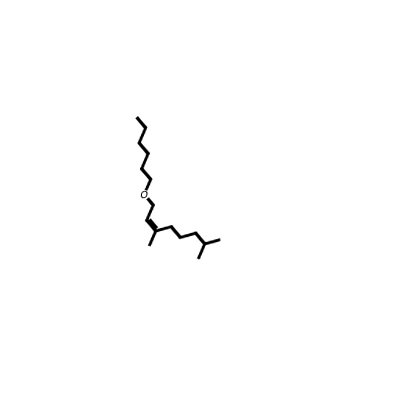 CCCCCCOCC=C(C)CCCC(C)C